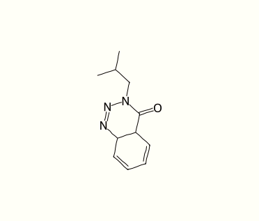 CC(C)CN1N=NC2C=CC=CC2C1=O